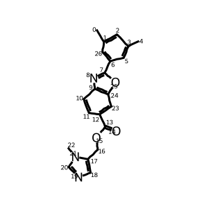 Cc1cc(C)cc(-c2nc3ccc(C(=O)OCc4cncn4C)cc3o2)c1